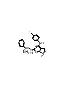 Cn1ncc2c(Nc3ccc(Cl)cc3)nc(NC[C@@H](N)c3ccccc3)nc21